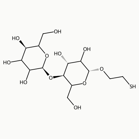 OCC1O[C@@H](O[C@@H]2C(CO)O[C@@H](OCCS)C(O)[C@H]2O)C(O)C(O)[C@H]1O